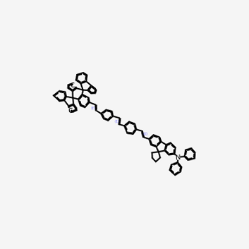 C(=C\c1ccc(/C=C/c2ccc3c(c2)C2(c4ccccc4-c4ccccc42)c2ccccc2C32c3ccccc3-c3ccccc32)cc1)/c1ccc(/C=C/c2ccc3c(c2)C2(CCCC2)c2cc(N(c4ccccc4)c4ccccc4)ccc2-3)cc1